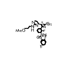 COCCCNc1nccc(-c2sc(C(C)(C)C)nc2-c2cccc(N[S+]([O-])c3cc(F)ccc3F)c2F)n1